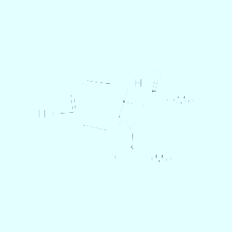 COC(=O)OC1CC/C(C)=C\CCC1(C)OC(=O)OC